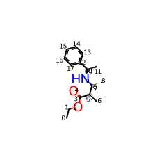 CCOC(=O)[C@H](C)[C@@H](C)N[C@H](C)c1ccccc1